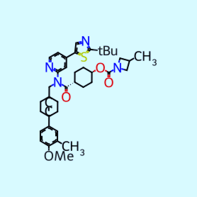 COc1ccc(C23CCC(CN(c4cc(-c5cnc(C(C)(C)C)s5)ccn4)C(=O)[C@H]4CC[C@H](OC(=O)N5CC(C)C5)CC4)(CC2)CC3)cc1C